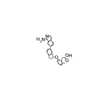 Cc1cccc(OC2CCc3ccc(-c4ccc5ccnc(N)c5c4)cc32)c1CC(=O)O